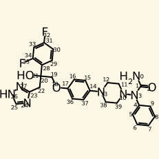 NC(=O)N(c1ccccc1)N1CCN(c2ccc(OCC(O)(Cc3nc[nH]n3)c3ccc(F)cc3F)cc2)CC1